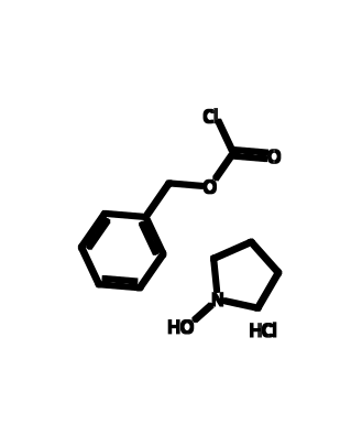 Cl.O=C(Cl)OCc1ccccc1.ON1CCCC1